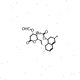 CC[C@H](C)C(=O)O[C@H]1C[C@@H](C)C=C2C=C[C@H](C)[C@H](CC[C@@H]3C[C@@H](OC=O)CC(=O)O3)C21